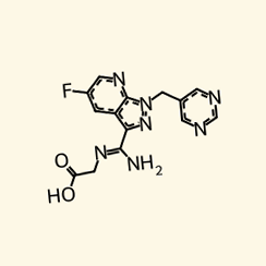 NC(=NCC(=O)O)c1nn(Cc2cncnc2)c2ncc(F)cc12